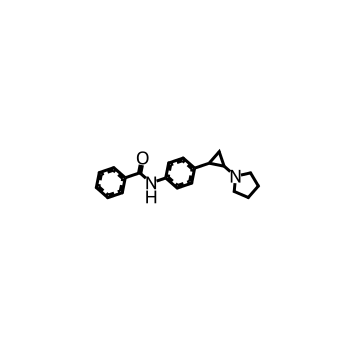 O=C(Nc1ccc(C2CC2N2CCCC2)cc1)c1ccccc1